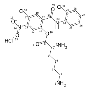 Cl.NCCCCC(N)C(=O)Oc1cc([N+](=O)[O-])c(Cl)cc1C(=O)Nc1ccccc1Cl